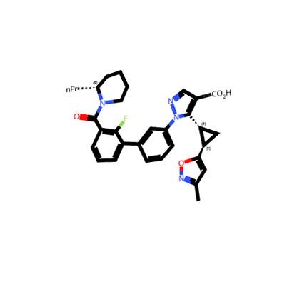 CCC[C@@H]1CCCCN1C(=O)c1cccc(-c2cccc(-n3ncc(C(=O)O)c3[C@@H]3C[C@H]3c3cc(C)no3)c2)c1F